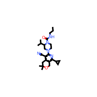 CCCNC(=O)N1CCN(c2nc(C3CC3)c3c(c2C#N)CC(C)(C)OC3)CC1C(C)C